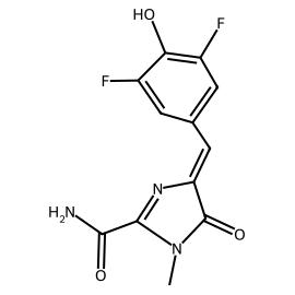 CN1C(=O)C(=Cc2cc(F)c(O)c(F)c2)N=C1C(N)=O